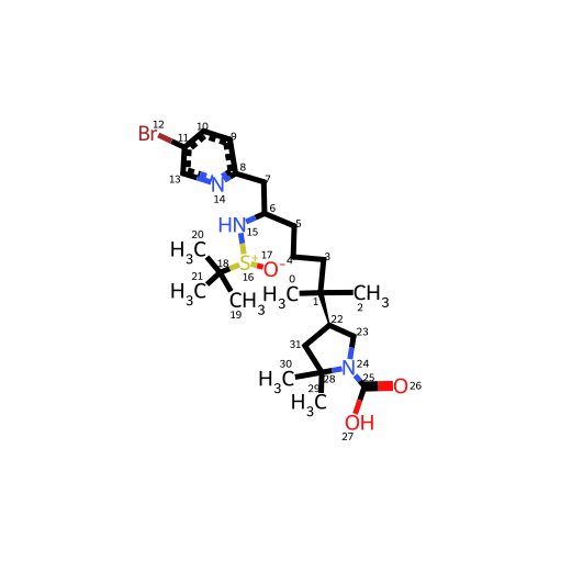 CC(C)(CCCC(Cc1ccc(Br)cn1)N[S+]([O-])C(C)(C)C)[C@H]1CN(C(=O)O)C(C)(C)C1